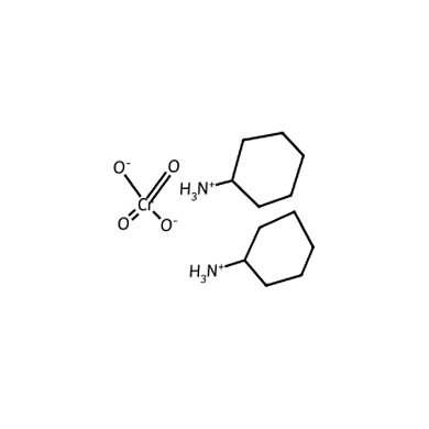 [NH3+]C1CCCCC1.[NH3+]C1CCCCC1.[O]=[Cr](=[O])([O-])[O-]